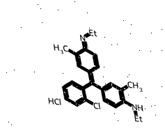 CCN=C1C=C/C(=C(\c2ccc(NCC)c(C)c2)c2ccccc2Cl)C=C1C.Cl